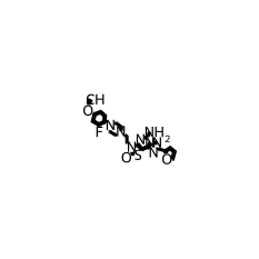 C#COc1ccc(N2CCN(CCn3c(=O)sc4c3nc(N)n3nc(-c5ccco5)nc43)CC2)c(F)c1